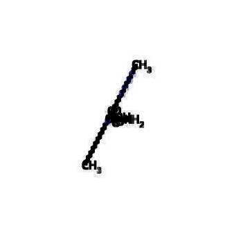 CCC/C=C/C/C=C/C/C=C/C/C=C/CCCCCC(=O)O[C@H](CO/C=C/CCCCCCCCCCCCCCCCCC)COP(=O)(O)OCCN